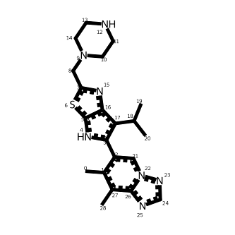 Cc1c(-c2[nH]c3sc(CN4CCNCC4)nc3c2C(C)C)cn2ncnc2c1C